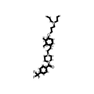 CCCN(CCC)CCCOc1ccc(CCN2CCN(C(=O)c3ccc(C(F)(F)F)cc3)CC2)c(C)c1C